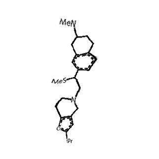 CNC1CCc2ccc(C(CN3CCc4oc(C(C)C)cc4C3)SC)cc2C1